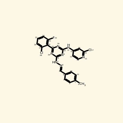 Cc1ccc(C=NNc2nc(Nc3ccnc(Cl)c3)nc(-c3c(F)cccc3Cl)n2)cc1